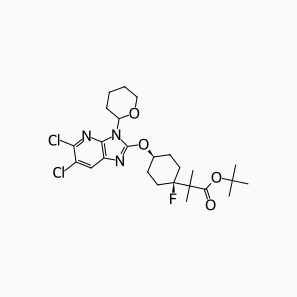 CC(C)(C)OC(=O)C(C)(C)[C@]1(F)CC[C@@H](Oc2nc3cc(Cl)c(Cl)nc3n2C2CCCCO2)CC1